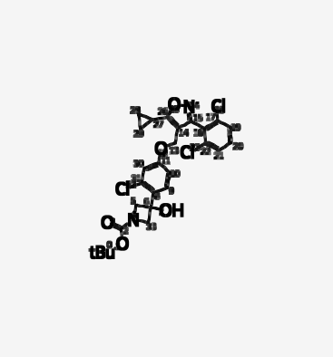 CC(C)(C)OC(=O)N1CC(O)(c2ccc(OCc3c(-c4c(Cl)cccc4Cl)noc3C3CC3)cc2Cl)C1